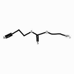 N#CCCSC(=S)OCCN